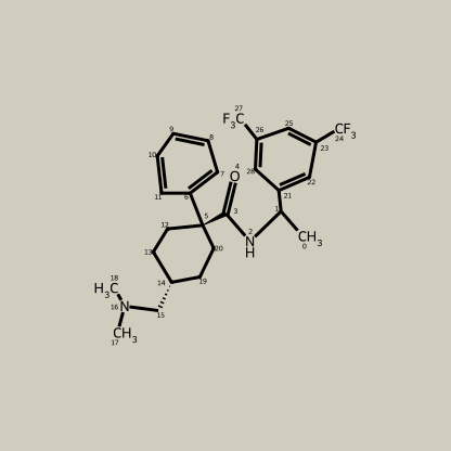 CC(NC(=O)[C@]1(c2ccccc2)CC[C@@H](CN(C)C)CC1)c1cc(C(F)(F)F)cc(C(F)(F)F)c1